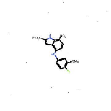 CCOC(=O)c1cc2c(Nc3ccc(F)c(OC)c3)ccc([N+](=O)[O-])c2[nH]1